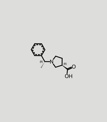 C[C@H](c1ccccc1)N1CC[C@@H](C(=O)O)C1